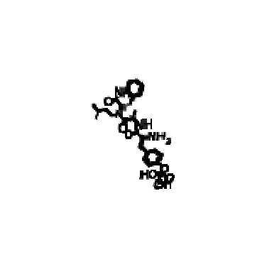 CC(C)CCN(C(=O)[C@@H](C)NC(=O)[C@@H](N)Cc1ccc(OP(=O)(O)O)cc1)[C@@H](Cc1ccccc1)C(N)=O